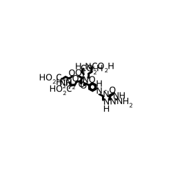 CN1c2c(nc(N)[nH]c2=O)NCC1CNc1ccc(C(=O)N(C(=O)CC[C@H](N)C(=O)O)[C@](CCC(=O)O)(C(=O)CC[C@H](N)C(=O)O)C(=O)OC(=O)CC[C@H](N)C(=O)O)cc1